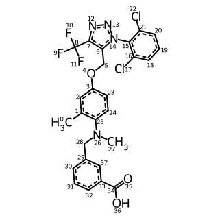 Cc1cc(OCc2c(C(F)(F)F)nnn2-c2c(Cl)cccc2Cl)ccc1N(C)Cc1cccc(C(=O)O)c1